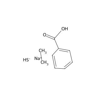 CC.O=C(O)c1ccccc1.[Na+].[SH-]